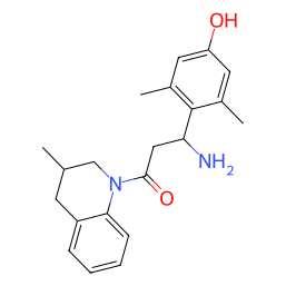 Cc1cc(O)cc(C)c1C(N)CC(=O)N1CC(C)Cc2ccccc21